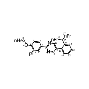 CCCCCCOc1ccc(-c2ncc(-c3ccccc3C(CCC)CCC)cn2)cc1F